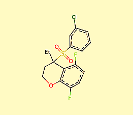 CCC1(S(=O)(=O)c2cccc(Cl)c2)CCOc2c(F)ccc(F)c21